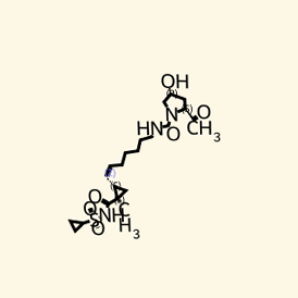 CC(=O)[C@@H]1C[C@@H](O)CN1C(=O)NCCCCC/C=C\[C@@H]1C[C@]1(C)C(=O)NS(=O)(=O)C1CC1